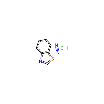 Cl.N#N.c1ccc2scnc2c1